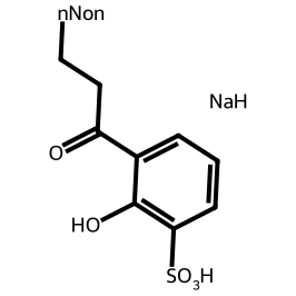 CCCCCCCCCCCC(=O)c1cccc(S(=O)(=O)O)c1O.[NaH]